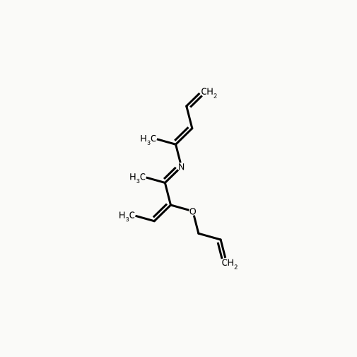 C=C/C=C(C)/N=C(C)/C(=C\C)OCC=C